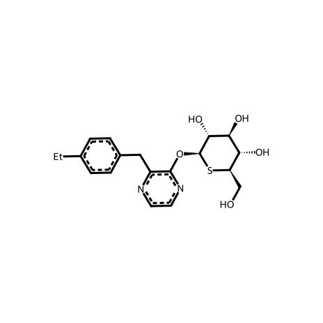 CCc1ccc(Cc2nccnc2O[C@@H]2S[C@H](CO)[C@@H](O)[C@H](O)[C@H]2O)cc1